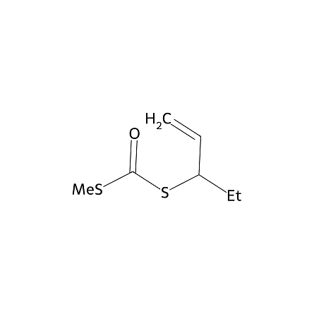 C=CC(CC)SC(=O)SC